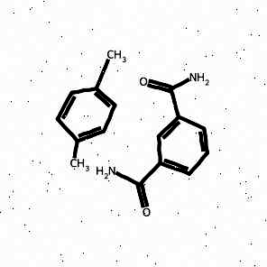 Cc1ccc(C)cc1.NC(=O)c1cccc(C(N)=O)c1